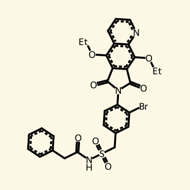 CCOc1c2c(c(OCC)c3ncccc13)C(=O)N(c1ccc(CS(=O)(=O)NC(=O)Cc3ccccc3)cc1Br)C2=O